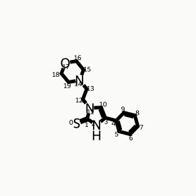 S=c1[nH]c(-c2ccccc2)cn1CCN1CCOCC1